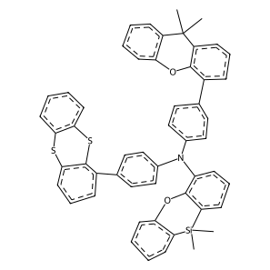 CC1(C)c2ccccc2Oc2c(-c3ccc(N(c4ccc(-c5cccc6c5Sc5ccccc5S6)cc4)c4cccc5c4Oc4ccccc4[Si]5(C)C)cc3)cccc21